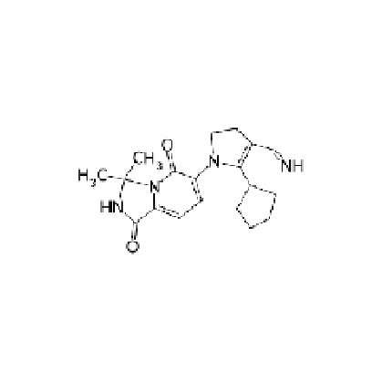 CC1(C)NC(=O)c2ccc(N3CCC(C=N)=C3C3CCCC3)c(=O)n21